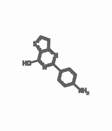 Nc1ccc(-c2nc(O)c3sccc3n2)cc1